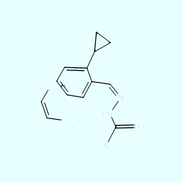 N=C(N)N/N=C\c1ccccc1C1CC1.O=C(O)/C=C\C(=O)O